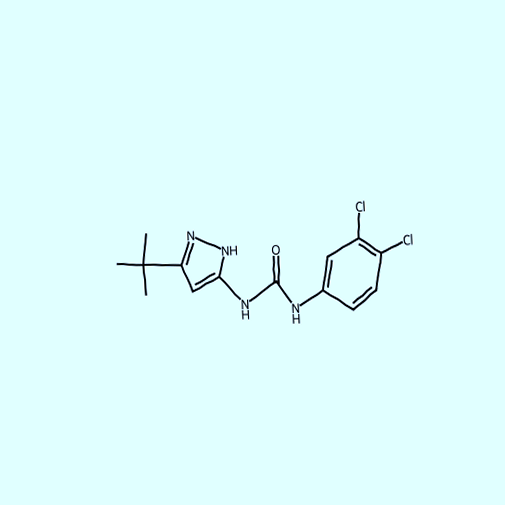 CC(C)(C)c1cc(NC(=O)Nc2ccc(Cl)c(Cl)c2)[nH]n1